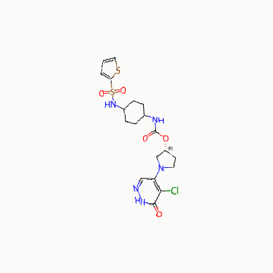 O=C(NC1CCC(NS(=O)(=O)c2cccs2)CC1)O[C@@H]1CCN(c2cn[nH]c(=O)c2Cl)C1